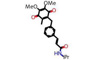 COC1=C(OC)C(=O)C(Cc2cccc(C=CC(=O)NC(C)C)c2)=C(C)C1=O